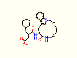 O=C(O)C[C@@H](CC1CCCCC1)C(=O)N[C@H]1Cc2cn(c3ccccc23)CCCCCCNC1=O